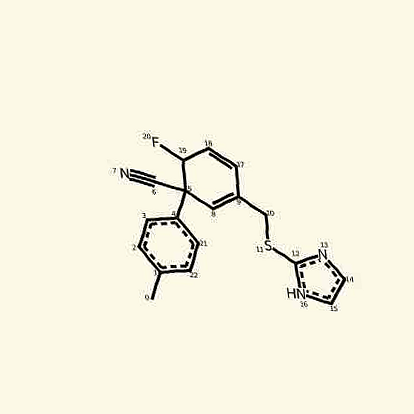 Cc1ccc(C2(C#N)C=C(CSc3ncc[nH]3)C=CC2F)cc1